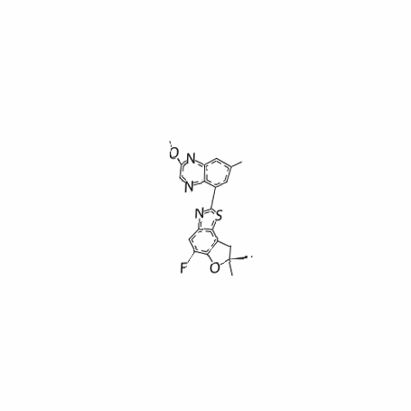 [CH2][C@]1(C)Cc2c(c(F)cc3nc(-c4cc(C)cc5nc(OC)cnc45)sc23)O1